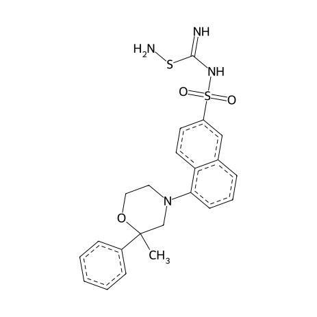 CC1(c2ccccc2)CN(c2cccc3cc(S(=O)(=O)NC(=N)SN)ccc23)CCO1